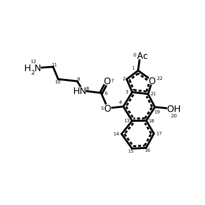 CC(=O)c1cc2c(OC(=O)NCCCN)c3ccccc3c(O)c2o1